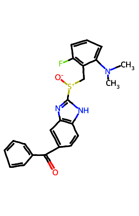 CN(C)c1cccc(F)c1C[S+]([O-])c1nc2cc(C(=O)c3ccccc3)ccc2[nH]1